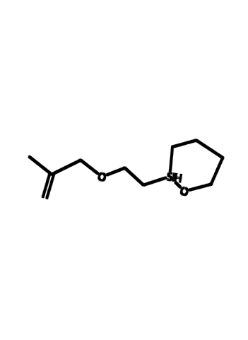 C=C(C)COCC[SiH]1CCCCO1